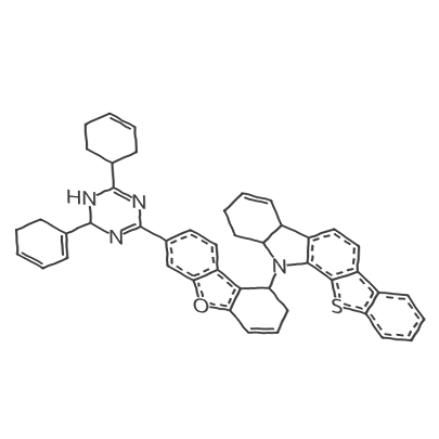 C1=CCCC(C2N=C(c3ccc4c5c(oc4c3)C=CCC5N3c4c(ccc5c4sc4ccccc45)C4C=CCCC43)N=C(C3CC=CCC3)N2)=C1